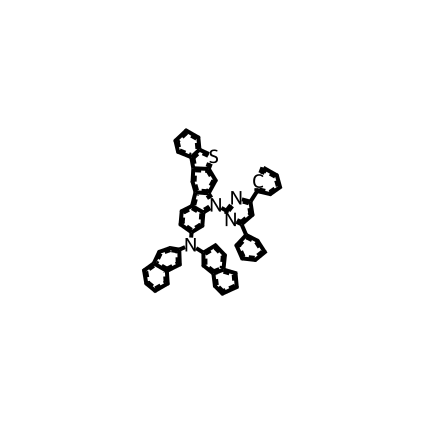 c1ccc(-c2cc(-c3ccccc3)nc(-n3c4cc(N(c5ccc6ccccc6c5)c5ccc6ccccc6c5)ccc4c4cc5c(cc43)sc3ccccc35)n2)cc1